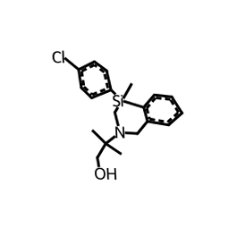 CC(C)(CO)N1Cc2ccccc2[Si](C)(c2ccc(Cl)cc2)C1